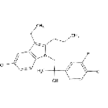 CCCc1c(CC)c2cc(Cl)ccc2n1CC(C)(O)c1ccc(Cl)c(F)c1